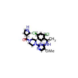 COc1cnc(N2CCN(C(=O)[C@H]3CCNC3)CC2)nc1N[C@H](C)c1ccc(Cl)cc1Cl